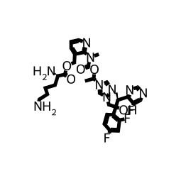 CC(OC(=O)N(C)c1ncccc1COC(=O)[C@@H](N)CCCCN)[n+]1cnn(CC(O)(c2ccc(F)cc2F)[C@@H](C)c2ncncc2F)c1